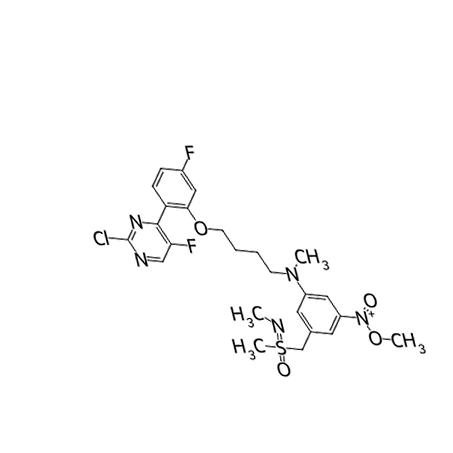 CN=S(C)(=O)Cc1cc(N(C)CCCCOc2cc(F)ccc2-c2nc(Cl)ncc2F)cc([N+](=O)OC)c1